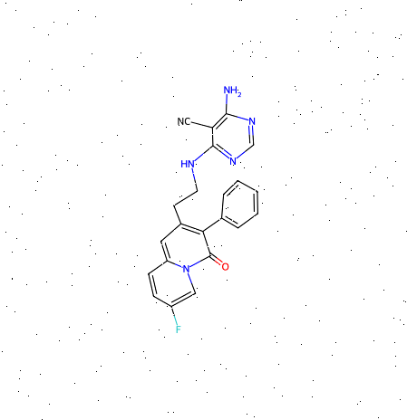 N#Cc1c(N)ncnc1NCCc1cc2ccc(F)cn2c(=O)c1-c1ccccc1